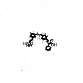 O=C(C=Cc1cccc(CNCC2CCC(CN[C@H](C(=O)O)C3CCCCC3)CC2)c1)NO